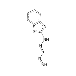 N=NC=NNc1nc2ccccc2s1